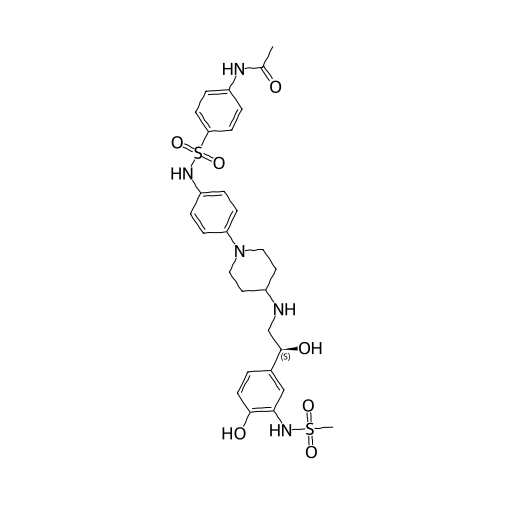 CC(=O)Nc1ccc(S(=O)(=O)Nc2ccc(N3CCC(NC[C@@H](O)c4ccc(O)c(NS(C)(=O)=O)c4)CC3)cc2)cc1